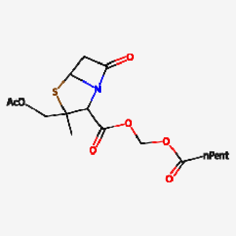 CCCCCC(=O)OCOC(=O)C1N2C(=O)CC2SC1(C)COC(C)=O